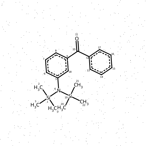 C[Si](C)(C)N(c1cccc(C(=O)c2ccccc2)c1)[Si](C)(C)C